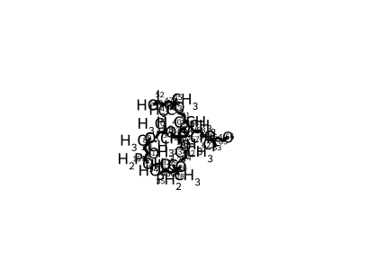 CCC(C)(CCOC(C)(C)CC(=O)C(O)P)OCC(COC(C)(C)CCOC(C)(C)CC(=O)C(O)P)(COC(C)(C)CCOC(C)(C)CC(=O)C(O)I)COC(C)(C)CCOC(C)(F)CC=O